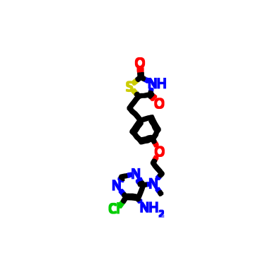 CN(CCOc1ccc(CC2SC(=O)NC2=O)cc1)c1ncnc(Cl)c1N